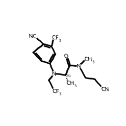 C[C@@H](C(=O)N(C)CCC#N)N(CC(F)(F)F)c1ccc(C#N)c(C(F)(F)F)c1